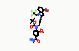 CNC(=O)c1ccc(N(CC#Cc2cc3c(Br)cccc3n2CC(F)(F)F)C(=O)OC(C)(C)C)c(OC)c1